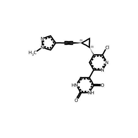 Cn1cc(C#C[C@H]2C[C@@H]2c2cc(-c3c[nH]c(=O)[nH]c3=O)nnc2Cl)cn1